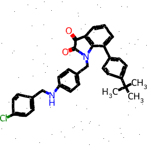 CC(C)(C)c1ccc(-c2cccc3c2N(Cc2ccc(NCc4ccc(Cl)cc4)cc2)C(=O)C3=O)cc1